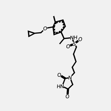 Cc1ccc(C(C)NS(=O)(=O)CCCCCN2CC(=O)NC2=O)cc1OCC1CC1